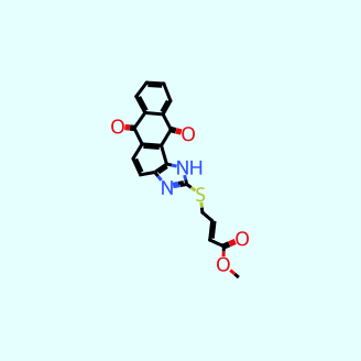 COC(=O)C=CCSc1nc2ccc3c(c2[nH]1)C(=O)c1ccccc1C3=O